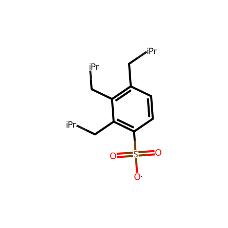 CC(C)Cc1ccc(S([O])(=O)=O)c(CC(C)C)c1CC(C)C